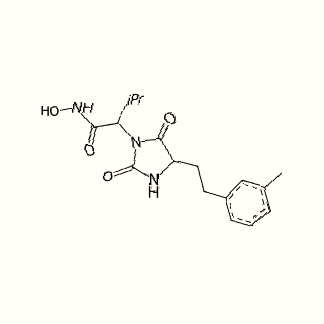 Cc1cccc(CCC2NC(=O)N(C(C(=O)NO)C(C)C)C2=O)c1